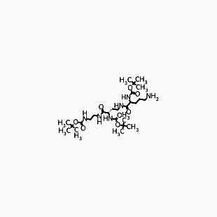 CC(C)(C)OC(=O)NCCNC(=O)[C@H](CCNC(=O)C(CCCN)NC(=O)OC(C)(C)C)NC(=O)OC(C)(C)C